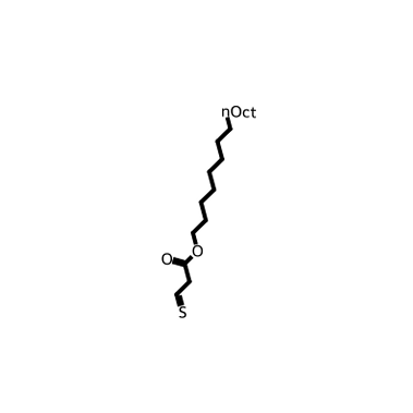 CCCCCCCCCCCCCCCCOC(=O)CC=S